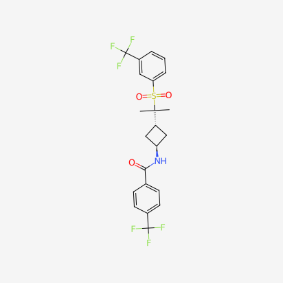 CC(C)([C@H]1C[C@H](NC(=O)c2ccc(C(F)(F)F)cc2)C1)S(=O)(=O)c1cccc(C(F)(F)F)c1